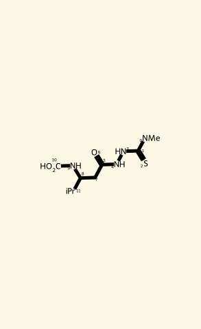 CNC(=S)NNC(=O)CC(NC(=O)O)C(C)C